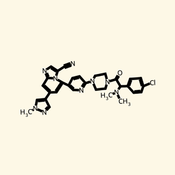 CN(C)C(C(=O)N1CCN(c2ccc(-c3cc(-c4cnn(C)c4)cc4ncc(C#N)n34)cn2)CC1)c1ccc(Cl)cc1